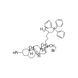 CCCC1CC[C@@]2(C)C(CC[C@H]3[C@@H]4CC[C@H]([C@H](C)CCCC(C)C[P+](c5ccccc5)(c5ccccc5)c5ccccc5)[C@@]4(C)CC[C@@H]32)C1.[Br-]